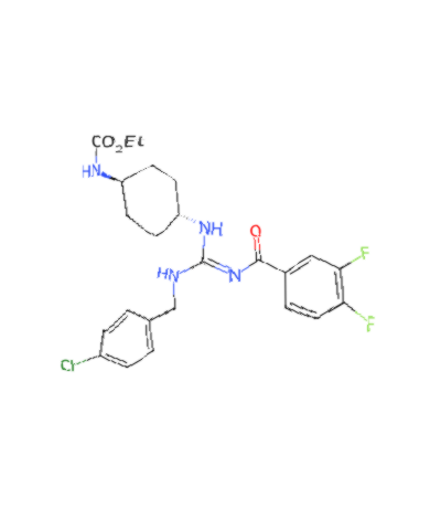 CCOC(=O)N[C@H]1CC[C@H](N/C(=N\C(=O)c2ccc(F)c(F)c2)NCc2ccc(Cl)cc2)CC1